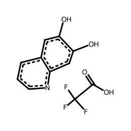 O=C(O)C(F)(F)F.Oc1cc2cccnc2cc1O